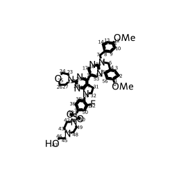 COc1ccc(CN(Cc2ccc(OC)cc2)c2ncc(-c3nc(N4CCOCC4)nc4c3CCN4c3ccc(S(=O)(=O)N4CCN(CCO)CC4)cc3F)cn2)cc1